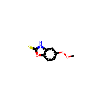 COOc1ccc2oc(=S)[nH]c2c1